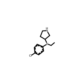 CCN(c1ccc(Cl)cc1)C1CCNC1